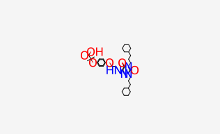 CC(C)(Oc1ccc(OCCNc2nn(CCCC3CCCCC3)c(=O)n(CCCC3CCCCC3)c2=O)cc1)C(=O)O